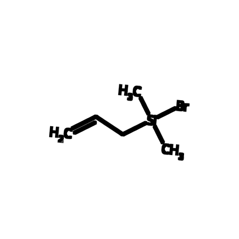 C=CC[Si](C)(C)Br